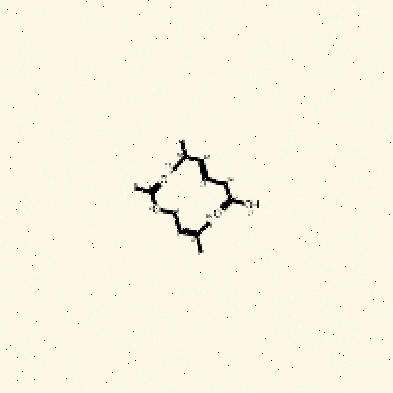 CC(=O)OCC=C(C)C.CC(C)C=CCC(=O)O